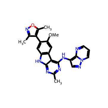 COc1cc2c(cc1-c1c(C)noc1C)[nH]c1nc(C)nc(Nc3cnn4cccnc34)c12